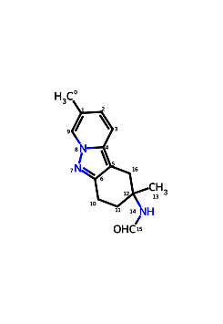 Cc1ccc2c3c(nn2c1)CCC(C)(NC=O)C3